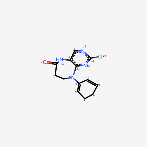 O=C1CCN(C2=CCCC=C2)c2nc(Cl)ncc2N1